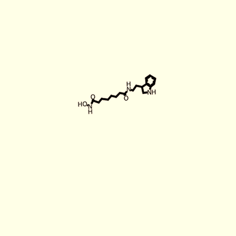 O=C(CCCCCCC(=O)NCCC1CNc2ccccc21)NO